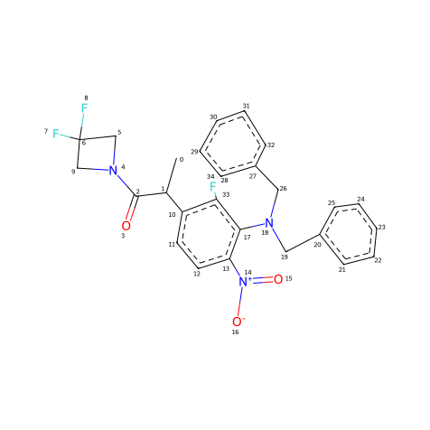 CC(C(=O)N1CC(F)(F)C1)c1ccc([N+](=O)[O-])c(N(Cc2ccccc2)Cc2ccccc2)c1F